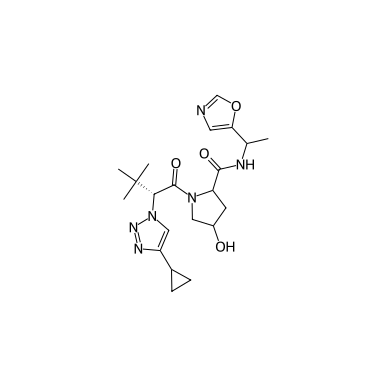 CC(NC(=O)C1CC(O)CN1C(=O)[C@H](n1cc(C2CC2)nn1)C(C)(C)C)c1cnco1